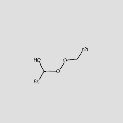 CCCCOOC(O)CC